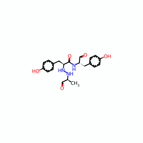 C[C@@H](C=O)NN[C@@H](Cc1ccc(O)cc1)C(=O)N[C@H](C=O)Cc1ccc(O)cc1